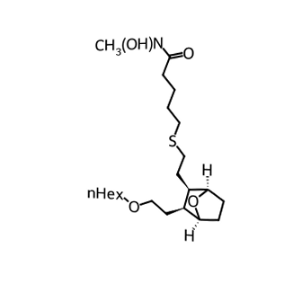 CCCCCCOCC[C@H]1[C@@H](CCSCCCCC(=O)N(C)O)[C@H]2CC[C@@H]1O2